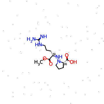 COC(=O)[C@H](CCCNC(=N)N)NN1CCC[C@H]1C(=O)O